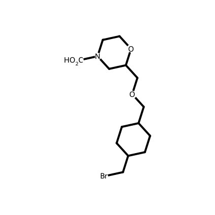 O=C(O)N1CCOC(COCC2CCC(CBr)CC2)C1